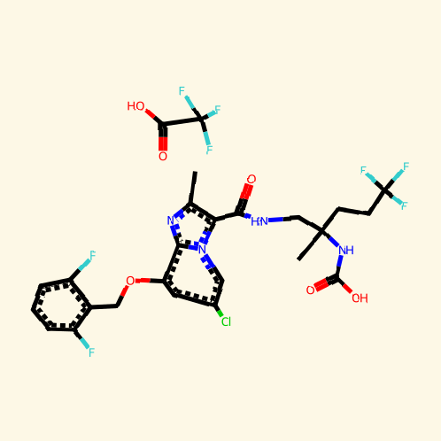 Cc1nc2c(OCc3c(F)cccc3F)cc(Cl)cn2c1C(=O)NCC(C)(CCC(F)(F)F)NC(=O)O.O=C(O)C(F)(F)F